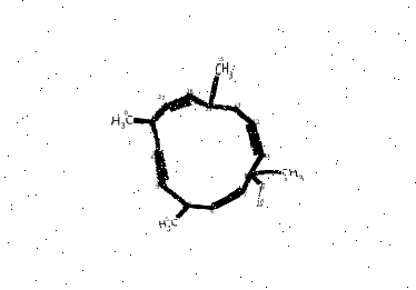 CC1/C=C\C(C)/C=C\C(C)(F)C=CCC(C)/C=C\1